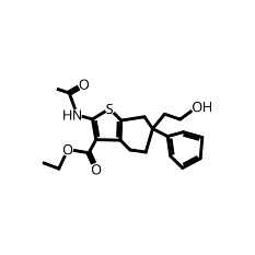 CCOC(=O)c1c(NC(C)=O)sc2c1CCC(CCO)(c1ccccc1)C2